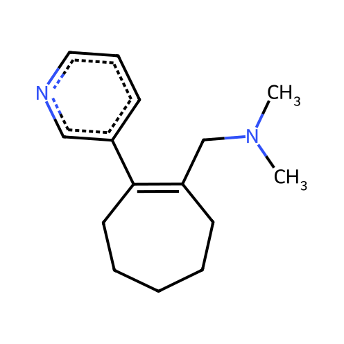 CN(C)CC1=C(c2cccnc2)CCCCC1